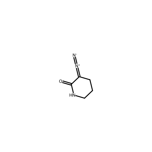 [N-]=[N+]=C1CCCNC1=O